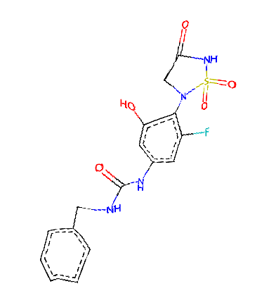 O=C1CN(c2c(O)cc(NC(=O)NCc3ccccc3)cc2F)S(=O)(=O)N1